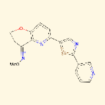 CO/N=C1\CCOc2ccc(-c3cnc(-c4cccnc4)s3)nc21